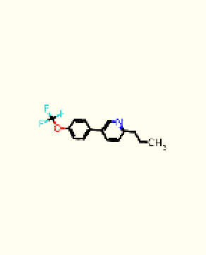 CCCc1ccc(-c2ccc(OC(F)(F)F)cc2)cn1